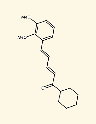 COc1cccc(/C=C/C=C/C(=O)C2CCCCC2)c1OC